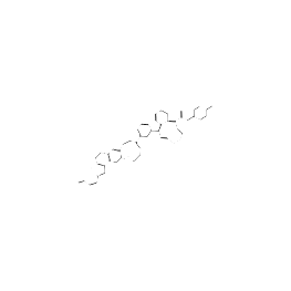 C=C/C=C\C(C=C)=C\C(=C)C1=c2\cccc\c2=C(c2cccc(-c3cccsc4cc5c(ccc6sc(/C=C\C=C)cc65)cc4cc3)c2)\C=C\CC\C=C\1